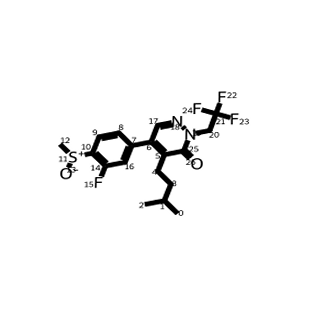 CC(C)CCc1c(-c2ccc([S+](C)[O-])c(F)c2)cnn(CC(F)(F)F)c1=O